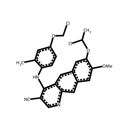 COc1cc2cc3ncc(C#N)c(Nc4ccc(OCCl)cc4C)c3cc2cc1OC(C)Cl